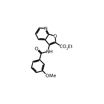 CCOC(=O)c1oc2ncccc2c1NC(=O)c1cccc(OC)c1